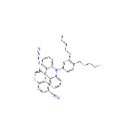 CCCCCc1ccc(N2c3ccccc3C3(c4cc(C#N)ccc4Sc4ccc(C#N)cc43)c3ccccc32)cc1CCCCC